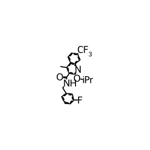 Cc1c(C(=O)NCc2cccc(F)c2)c(OC(C)C)nc2cc(C(F)(F)F)ccc12